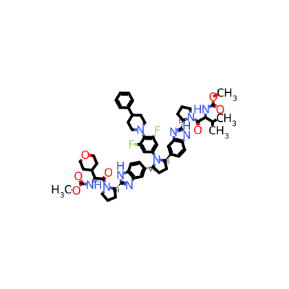 COC(=O)NC(C(=O)N1CCC[C@H]1c1nc2cc([C@H]3CC[C@H](c4ccc5[nH]c([C@@H]6CCCN6C(=O)[C@@H](NC(=O)OC)C6CCOCC6)nc5c4)N3c3cc(F)c(N4CCC(c5ccccc5)CC4)c(F)c3)ccc2[nH]1)C(C)C